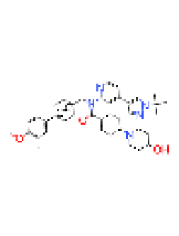 COc1ccc(C23CCC(CN(C(=O)C4CCC(N5CCC(O)CC5)CC4)c4cc(-c5cnn(C(C)(C)C)c5)ccn4)(CC2)CC3)cc1C